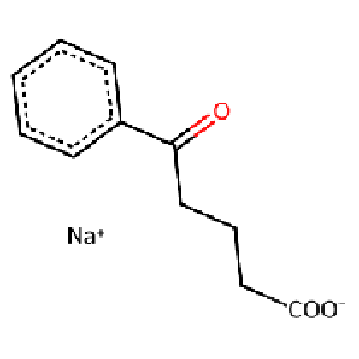 O=C([O-])CCCC(=O)c1ccccc1.[Na+]